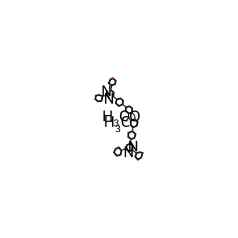 CC1(C)c2cc(-c3ccc(-c4cc(-c5ccccc5)nc(-c5ccccc5)n4)cc3)ccc2Oc2ccc(-c3ccc(-c4cc(-c5ccccc5)nc(-c5ccccc5)n4)cc3)cc21